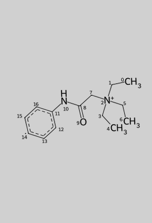 CC[N+](CC)(CC)CC(=O)Nc1cc[c]cc1